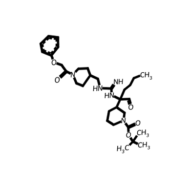 CCCCC(C=O)(NC(=N)NCC1CCN(C(=O)COc2ccccc2)CC1)C1CCCN(C(=O)OC(C)(C)C)C1